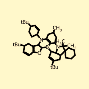 CC1CC2=C3B(C4C=C(C(C)(C)C)CC5C4N(C3C1)C(C)(C)C51CCCCC1)C1OC3=C(CC(C(C)(C)C)C=C3)C1N2C1C=CC(C(C)(C)C)CC1